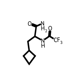 NC(=O)C(CC1CCC1)NC(=O)C(F)(F)F